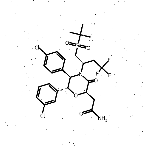 CC(C)(C)S(=O)(=O)C[C@H](CC(F)(F)F)N1C(=O)[C@@H](CC(N)=O)O[C@H](c2cccc(Cl)c2)[C@H]1c1ccc(Cl)cc1